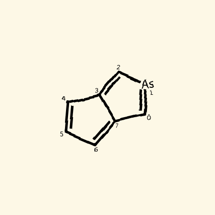 [C]1=[As]C=C2C=CC=C12